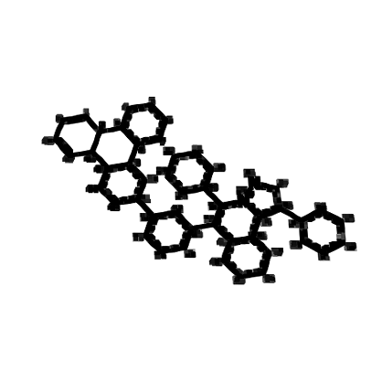 C1=CC2c3ccccc3-c3cc(-c4cccc(-c5c(-c6ccccc6)n6ncc(-c7ccccc7)c6c6ccccc56)c4)ccc3C2C=C1